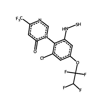 O=c1cc(C(F)(F)F)ncn1-c1c(Cl)cc(OC(F)(F)C(F)F)cc1NS